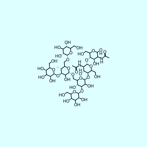 CC(=O)NC1C(O)OC(CO)[C@@H](O[C@@H]2OC(CO)[C@@H](O[C@@H]3OC(CO[C@H]4OC(CO[C@H]5OC(CO)[C@@H](O)C(O)[C@H]5O)[C@@H](C)[C@H](O[C@@H]5OC(CO)[C@H](O)C(O)[C@@H]5O)C4O)[C@@H](O)[C@H](O[C@@H]4OC(CO)[C@H](O)C(O)[C@@H]4O)C3O)[C@H](O)C2NC(C)=O)[C@@H]1O